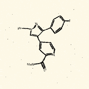 CNC(=O)c1cc(-c2cn(C(C)C)nc2-c2ccc(F)cc2)ccn1